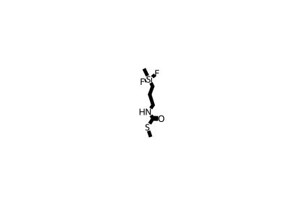 CSC(=O)NCCC[Si](C)(F)F